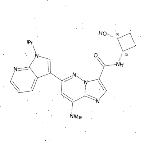 CNc1cc(-c2cn(C(C)C)c3ncccc23)nn2c(C(=O)N[C@H]3CC[C@H]3O)cnc12